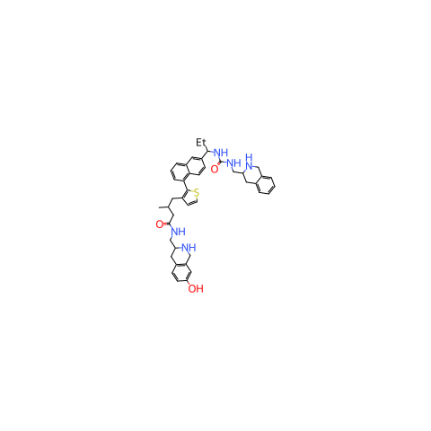 CCC(NC(=O)NCC1Cc2ccccc2CN1)c1ccc2c(-c3sccc3CC(C)CC(=O)NCC3Cc4ccc(O)cc4CN3)cccc2c1